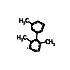 Cc1cccc(-c2c(C)[c]ccc2C)c1